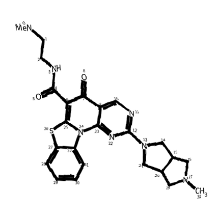 CNCCNC(=O)c1c(=O)c2cnc(N3CC4CN(C)CC4C3)nc2n2c1sc1ccccc12